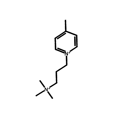 Cc1cc[n+](CCC[N+](C)(C)C)cc1